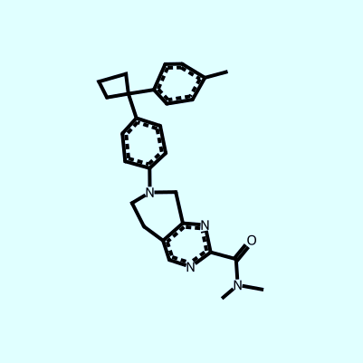 Cc1ccc(C2(c3ccc(N4CCc5cnc(C(=O)N(C)C)nc5C4)cc3)CCC2)cc1